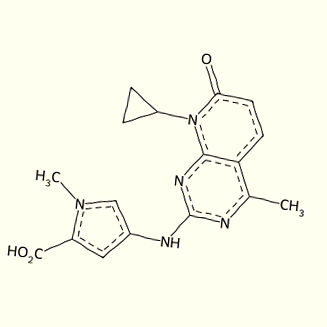 Cc1nc(Nc2cc(C(=O)O)n(C)c2)nc2c1ccc(=O)n2C1CC1